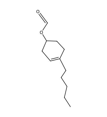 CCCCCC1=CCC(OC=O)CC1